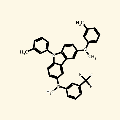 Cc1cccc(N(C)c2ccc3c(c2)c2cc(N(C)c4cccc(C(F)(F)F)c4)ccc2n3-c2cccc(C)c2)c1